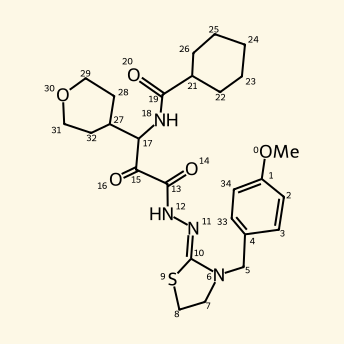 COc1ccc(CN2CCSC2=NNC(=O)C(=O)C(NC(=O)C2CCCCC2)C2CCOCC2)cc1